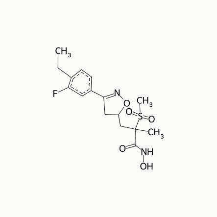 CCc1ccc(C2=NOC(CC(C)(C(=O)NO)S(C)(=O)=O)C2)cc1F